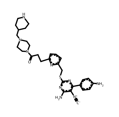 [C-]#[N+]c1c(N)nc(SCc2cccc(CCC(=O)N3CCN(CC4CCNCC4)CC3)n2)nc1-c1ccc(N)cc1